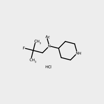 CC(=O)N(CC(C)(C)F)C1CCNCC1.Cl